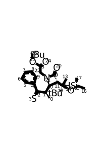 C[C@@H](C(=S)c1ccccc1)[C@@H]1[C@@H]([C@@](C)(O[SiH](C)C)C(C)(C)C)C(=O)N1CC(=O)OC(C)(C)C